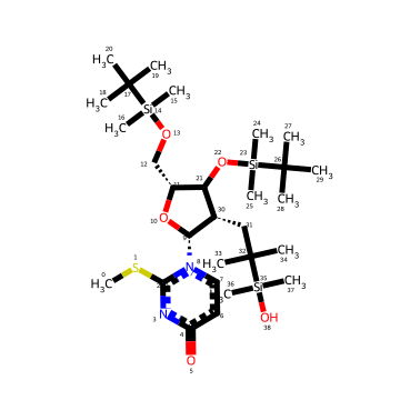 CSc1nc(=O)ccn1[C@@H]1O[C@H](CO[Si](C)(C)C(C)(C)C)C(O[Si](C)(C)C(C)(C)C)[C@@H]1CC(C)(C)[Si](C)(C)O